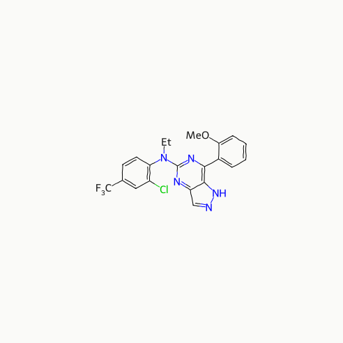 CCN(c1nc(-c2ccccc2OC)c2[nH]ncc2n1)c1ccc(C(F)(F)F)cc1Cl